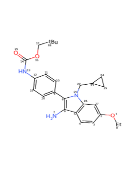 CCOc1ccc2c(N)c(-c3ccc(NC(=O)OCC(C)(C)C)cc3)n(CC3CC3)c2c1